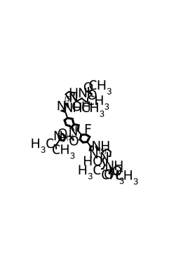 COC(=O)NC(C(C)C)C(O)N1CCC[C@H]1c1ncc(-c2cc(F)c3c(c2)O[C@@H](c2cc(C(C)C)no2)n2c-3cc3cc(-c4cnc([C@@H]5CCCN5C(O)C(NC(=O)OC)C(C)C)[nH]4)ccc32)[nH]1